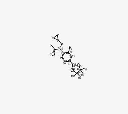 CC(=O)N(CC1CC1)c1ccc(B2OC(C)(C)C(C)(C)O2)cc1F